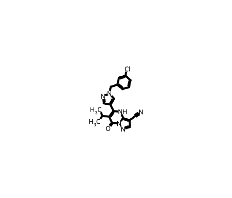 CC(C)c1c(-c2cnn(Cc3cccc(Cl)c3)c2)[nH]c2c(C#N)cnn2c1=O